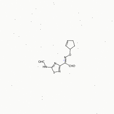 O=[C]/C(=N\OC1C=CCC1)c1nsc(NC=O)n1